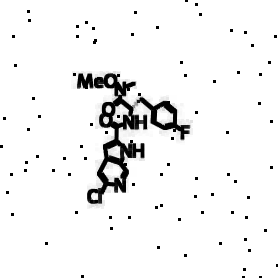 CON(C)C(=O)[C@H](Cc1ccc(F)cc1)NC(=O)c1cc2cc(Cl)ncc2[nH]1